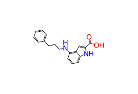 O=C(O)c1cc2c(NCCCc3ccccc3)cccc2[nH]1